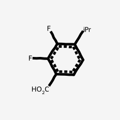 CC(C)c1ccc(C(=O)O)c(F)c1F